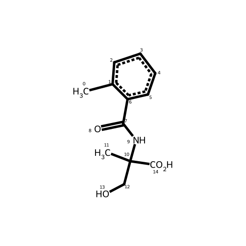 Cc1ccccc1C(=O)NC(C)(CO)C(=O)O